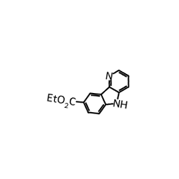 CCOC(=O)c1ccc2[nH]c3cccnc3c2c1